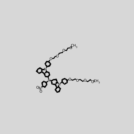 COCCOCCOCCOc1ccc(-n2c3ccccc3c3cc(N(c4ccc([N+](=O)[O-])cc4)c4ccc5c(c4)c4ccccc4n5-c4ccc(OCCOCCOCCOC)cc4)ccc32)cc1